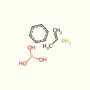 C=CC.OP(O)O.P.c1ccccc1